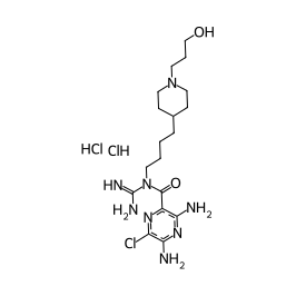 Cl.Cl.N=C(N)N(CCCCC1CCN(CCCO)CC1)C(=O)c1nc(Cl)c(N)nc1N